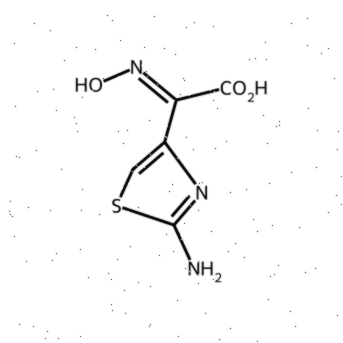 Nc1nc(/C(=N\O)C(=O)O)cs1